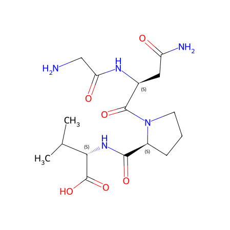 CC(C)[C@H](NC(=O)[C@@H]1CCCN1C(=O)[C@H](CC(N)=O)NC(=O)CN)C(=O)O